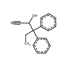 CCC(c1ccccc1)(c1ccccc1)C(O)C#N